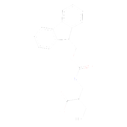 CCC(CNC(=O)OCC1c2ccccc2-c2ccccc21)C(=O)O